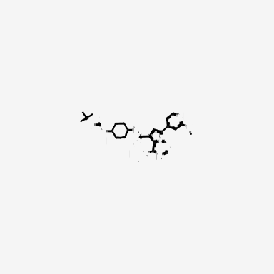 COc1cc(-c2cc(C(=O)NC3CCC(NC(=O)OC(C)(C)C)CC3)c3c(N)ncnn23)ccn1